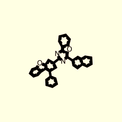 c1ccc(-c2cc(-c3nc(-c4ccc5ccccc5c4)c4oc5ccccc5c4n3)cc3oc4ccccc4c23)cc1